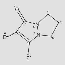 CCc1c(CC)n2n(c1=O)CCC2